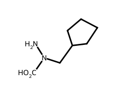 NN(CC1CCCC1)C(=O)O